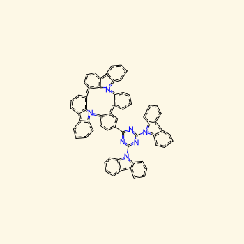 c1ccc2c(c1)c1ccccc1n2-c1nc(-c2ccc3c(c2)c2ccccc2n2c4ccccc4c4cccc(c5cccc6c7ccccc7n3c65)c42)nc(-n2c3ccccc3c3ccccc32)n1